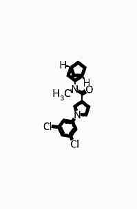 CN(C(=O)[C@H]1CCN(c2cc(Cl)cc(Cl)c2)C1)[C@@H]1C[C@@H]2CC[C@H]1C2